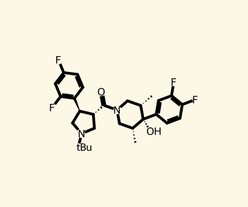 C[C@@H]1CN(C(=O)[C@@H]2CN(C(C)(C)C)C[C@H]2c2ccc(F)cc2F)C[C@H](C)[C@@]1(O)c1ccc(F)c(F)c1